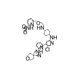 C[C@@H](COCc1cccc(NS(C)(=O)=O)n1)N[C@H]1CC[C@H](Nc2cc(-c3cccc(NCC4(C#N)CCOCC4)n3)c(Cl)cn2)CC1